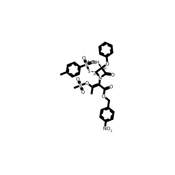 CC(=O)N[C@@]1(Oc2ccccc2)C(=O)N(C(C(=O)OCc2ccc([N+](=O)[O-])cc2)=C(C)OS(C)(=O)=O)[C@@H]1SS(=O)(=O)c1ccc(C)cc1